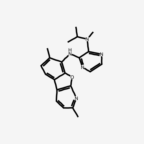 Cc1ccc2c(n1)oc1c(Nc3nccnc3N(C)C(C)C)c(C)ccc12